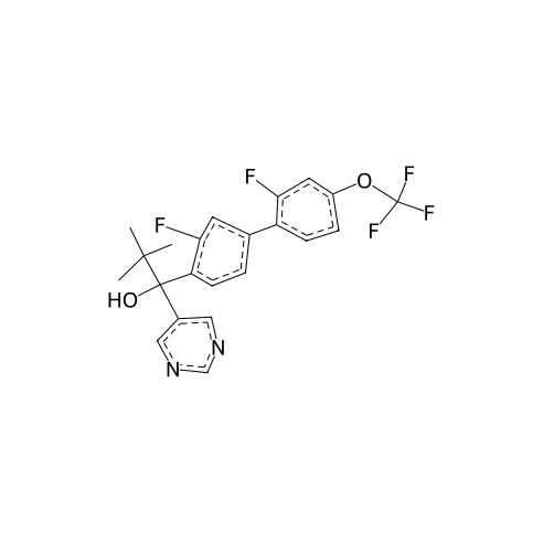 CC(C)(C)C(O)(c1cncnc1)c1ccc(-c2ccc(OC(F)(F)F)cc2F)cc1F